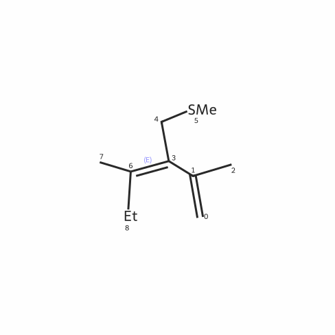 C=C(C)/C(CSC)=C(/C)CC